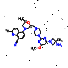 [2H]c1ccc2c(N3C[C@H](CN4CCN(c5nc(OC)cc(N6CC(C)(N)C6)n5)CC4)O[C@H](C)C3)ccc(C#N)c2n1